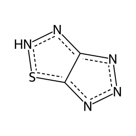 n1nc2n[nH]sc-2n1